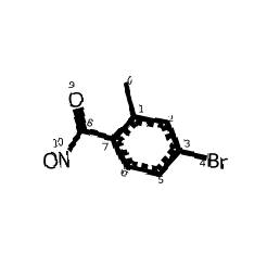 Cc1cc(Br)ccc1C(=O)N=O